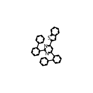 c1ccc(-c2ccccc2-c2cc(-c3cc4ccccc4s3)nc(-c3ccccc3-c3ccccc3)n2)cc1